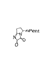 CCCCCC1CCC2=NC(=O)C(=O)N21